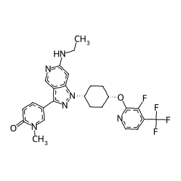 CCNc1cc2c(cn1)c(-c1ccc(=O)n(C)c1)nn2[C@H]1CC[C@@H](Oc2nccc(C(F)(F)F)c2F)CC1